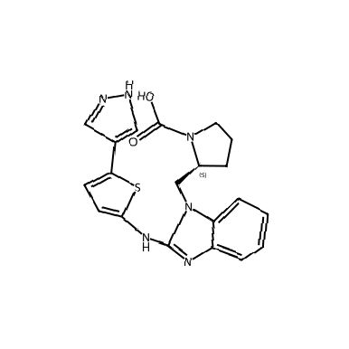 O=C(O)N1CCC[C@H]1Cn1c(Nc2ccc(-c3cn[nH]c3)s2)nc2ccccc21